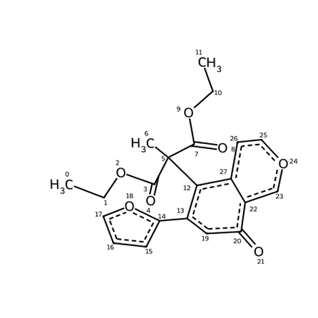 CCOC(=O)C(C)(C(=O)OCC)c1c(-c2ccco2)cc(=O)c2coccc1-2